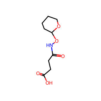 O=C(O)CCC(=O)NOC1CCCCO1